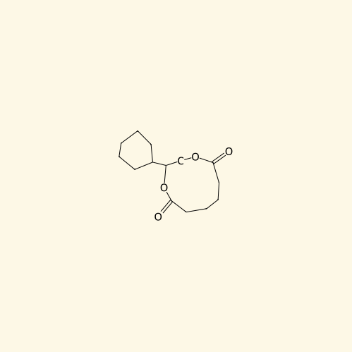 O=C1CCCCC(=O)OC(C2CCCCC2)CO1